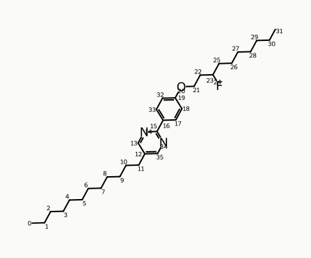 CCCCCCCCCCCCc1cnc(-c2ccc(OCCC(F)CCCCCCC)cc2)nc1